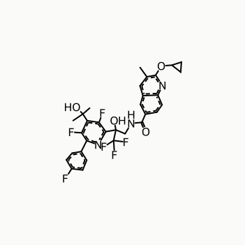 Cc1cc2cc(C(=O)NCC(O)(c3nc(-c4ccc(F)cc4)c(F)c(C(C)(C)O)c3F)C(F)(F)F)ccc2nc1OC1CC1